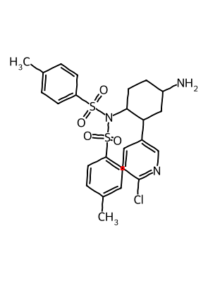 Cc1ccc(S(=O)(=O)N(C2CCC(N)CC2c2ccc(Cl)nc2)S(=O)(=O)c2ccc(C)cc2)cc1